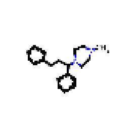 CN1CCN(C(CCc2ccccc2)c2ccccc2)CC1